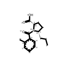 CCC[C@H]1CC[C@@H](C(=O)O)N1C(=O)c1ccccc1C